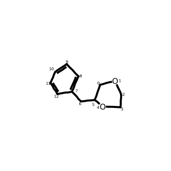 [CH]1OCCOC1Cc1ccccc1